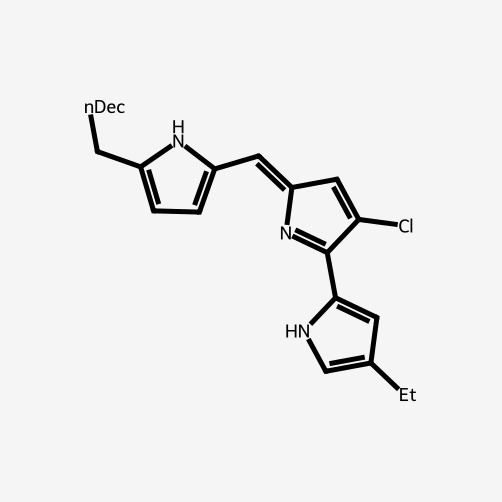 CCCCCCCCCCCc1ccc(C=C2C=C(Cl)C(c3cc(CC)c[nH]3)=N2)[nH]1